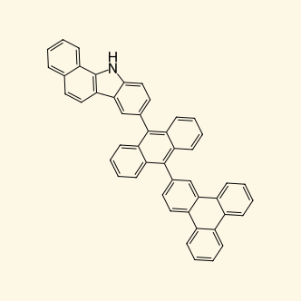 c1ccc2c(c1)ccc1c3cc(-c4c5ccccc5c(-c5ccc6c7ccccc7c7ccccc7c6c5)c5ccccc45)ccc3[nH]c21